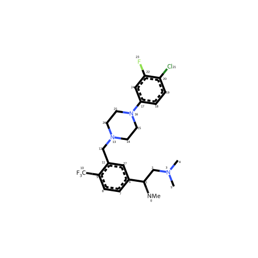 CNC(CN(C)C)c1ccc(C(F)(F)F)c(CN2CCN(c3ccc(Cl)c(F)c3)CC2)c1